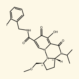 COC[C@@H]1CC[C@H]2N(C(C)C)C(=O)c3c(O)c(=O)c(C(=O)NCc4ccccc4I)cn3N12